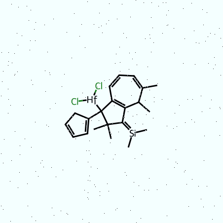 CC1=CC=CC2=C(C(=[Si](C)C)C(C)(C)[C]2(C2=CC=CC2)[Hf]([Cl])[Cl])C1C